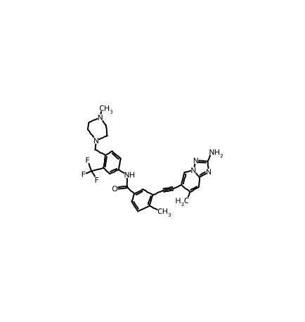 Cc1ccc(C(=O)Nc2ccc(CN3CCN(C)CC3)c(C(F)(F)F)c2)cc1C#Cc1cn2nc(N)nc2cc1C